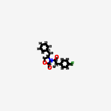 C[C@H](C(=O)N1C(=O)OCC1Cc1ccccc1)c1ccc(F)cc1